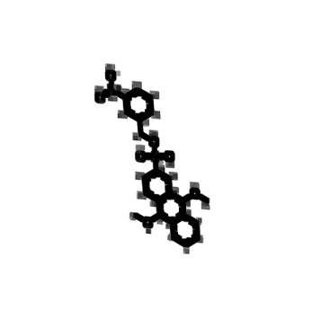 COc1c2ccccc2c(OC)c2cc(S(=O)(=O)OCc3cccc([N+](=O)[O-])c3)ccc12